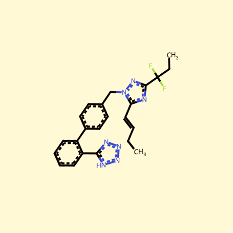 CCC=Cc1nc(C(F)(F)CC)nn1Cc1ccc(-c2ccccc2-c2nnn[nH]2)cc1